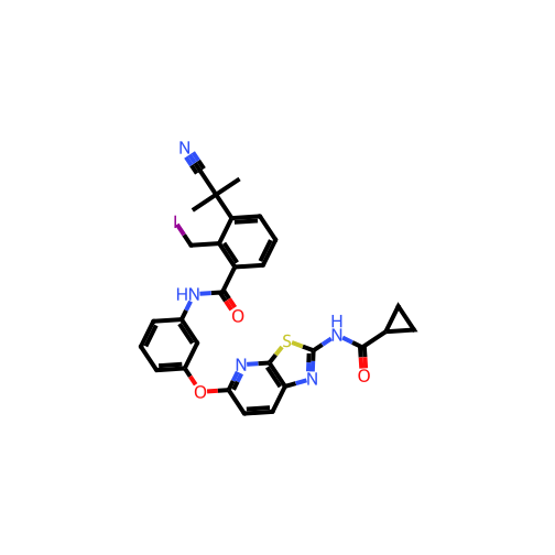 CC(C)(C#N)c1cccc(C(=O)Nc2cccc(Oc3ccc4nc(NC(=O)C5CC5)sc4n3)c2)c1CI